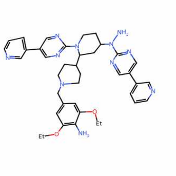 CCOc1cc(CN2CCC(C3CC(N(N)c4ncc(-c5cccnc5)cn4)CCN3c3ncc(-c4cccnc4)cn3)CC2)cc(OCC)c1N